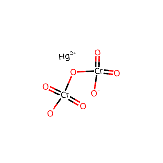 [Hg+2].[O]=[Cr](=[O])([O-])[O][Cr](=[O])(=[O])[O-]